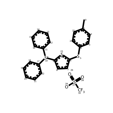 Cc1ccc(Sc2ccc([S+](c3ccccc3)c3ccccc3)s2)cc1.O=S(=O)([O-])C(F)(F)F